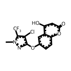 Cn1nc(Oc2ccc3oc(=O)cc(O)c3c2)c(Cl)c1C(F)(F)F